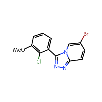 COc1cccc(-c2nnc3ccc(Br)cn23)c1Cl